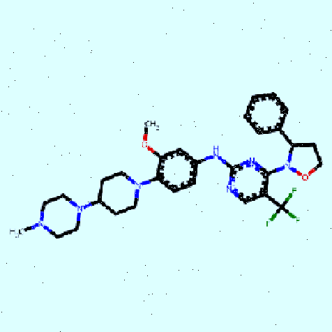 COc1cc(Nc2ncc(C(F)(F)F)c(N3OCCC3c3ccccc3)n2)ccc1N1CCC(N2CCN(C)CC2)CC1